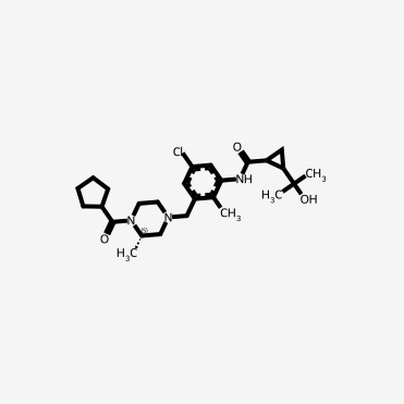 Cc1c(CN2CCN(C(=O)C3CCCC3)[C@@H](C)C2)cc(Cl)cc1NC(=O)C1CC1C(C)(C)O